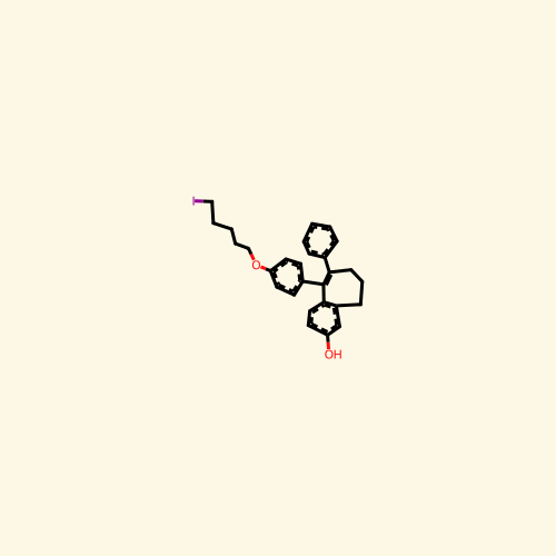 Oc1ccc2c(c1)CCCC(c1ccccc1)=C2c1ccc(OCCCCCI)cc1